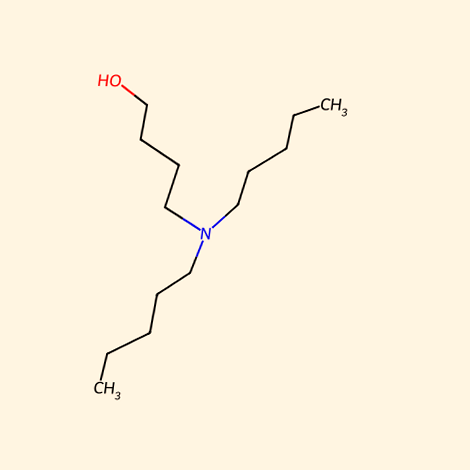 CCCCCN(CCCCC)CCCCO